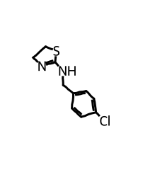 Clc1ccc(CNC2=NCCS2)cc1